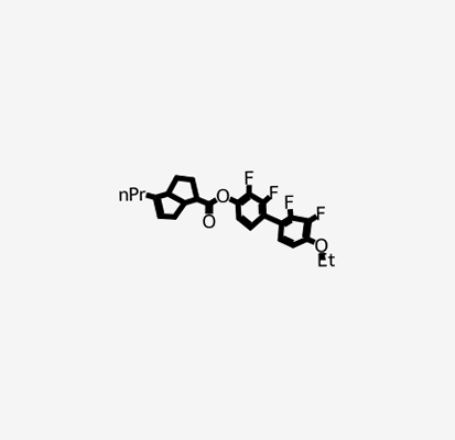 CCCC1=CCC2C(C(=O)Oc3ccc(-c4ccc(OCC)c(F)c4F)c(F)c3F)CCC12